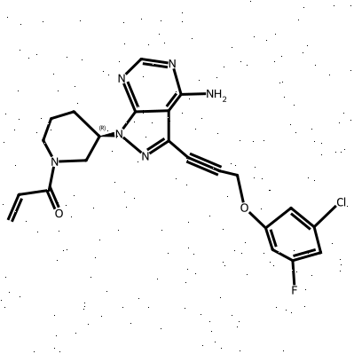 C=CC(=O)N1CCC[C@@H](n2nc(C#CCOc3cc(F)cc(Cl)c3)c3c(N)ncnc32)C1